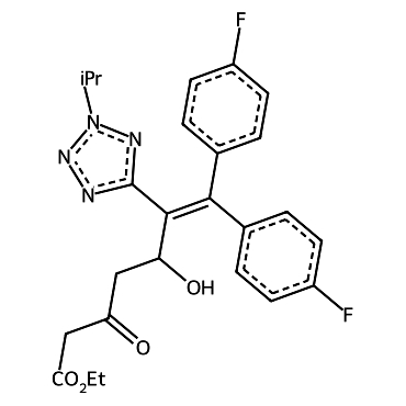 CCOC(=O)CC(=O)CC(O)C(=C(c1ccc(F)cc1)c1ccc(F)cc1)c1nnn(C(C)C)n1